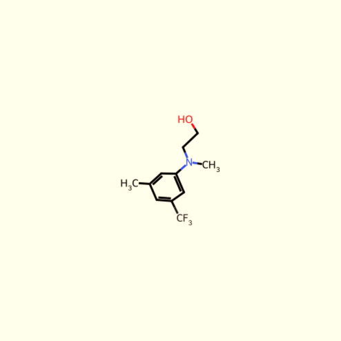 Cc1cc(N(C)CCO)cc(C(F)(F)F)c1